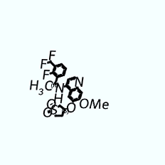 COc1cc2nccc(N[C@H](C)c3cccc(C(F)F)c3F)c2cc1O[C@H]1CCS(=O)(=O)C1